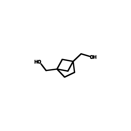 OCC12CCC(CO)(C1)C2